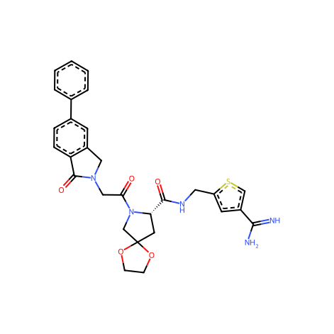 N=C(N)c1csc(CNC(=O)[C@@H]2CC3(CN2C(=O)CN2Cc4cc(-c5ccccc5)ccc4C2=O)OCCO3)c1